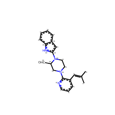 CC(C)=Cc1cccnc1N1CCN(c2cc3ccccc3[nH]2)C(C=O)C1